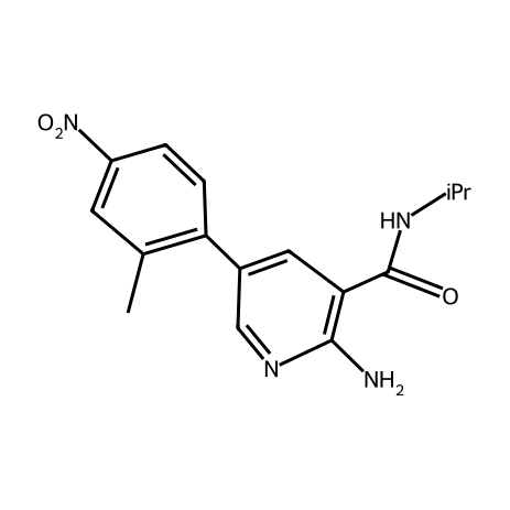 Cc1cc([N+](=O)[O-])ccc1-c1cnc(N)c(C(=O)NC(C)C)c1